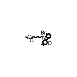 CCOC(=O)CCCCCn1c2c(c3cccc(Br)c31)C(=O)CC(C)(C)C2